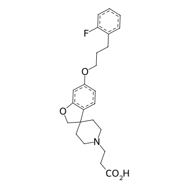 O=C(O)CCN1CCC2(CC1)COc1cc(OCCCc3ccccc3F)ccc12